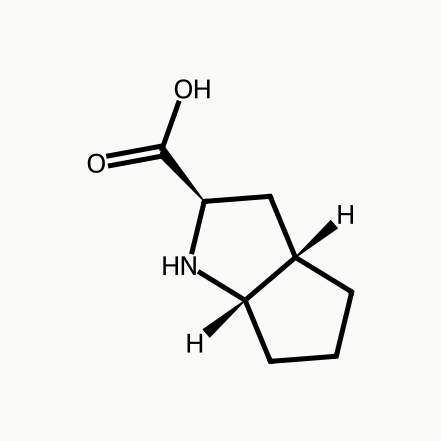 O=C(O)[C@H]1C[C@@H]2CCC[C@@H]2N1